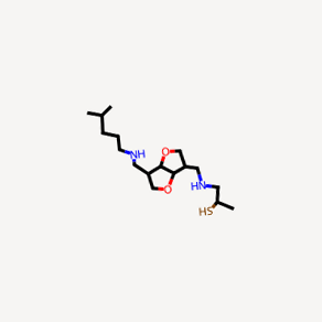 CC(C)CCCNCC1COC2C(CNCC(C)S)COC12